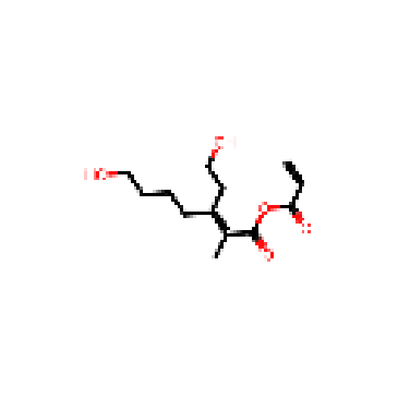 C=CC(=O)OC(=O)C(C)=C(CCO)CCCCO